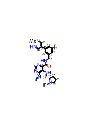 C=Nc1ncnc(C(=O)NCc2cc(F)cc(/C(C=N)=C/NC)c2)c1NC[C@@H]1CCCN1C(C)C